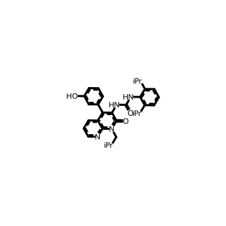 CC(C)Cn1c(=O)c(NC(=O)Nc2c(C(C)C)cccc2C(C)C)c(-c2cccc(O)c2)c2cccnc21